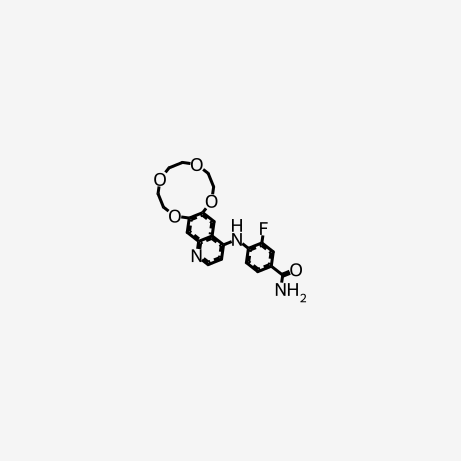 NC(=O)c1ccc(Nc2ccnc3cc4c(cc23)OCCOCCOCCO4)c(F)c1